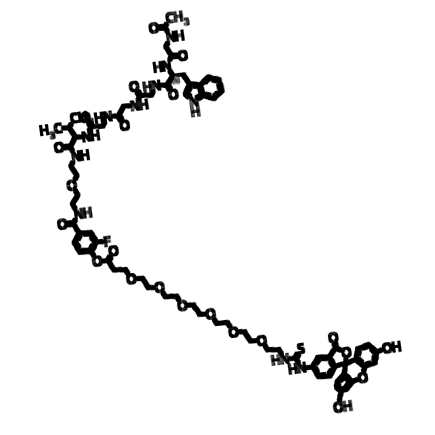 CC(=O)NCC(=O)N[C@@H](Cc1c[nH]c2ccccc12)C(=O)NCC(=O)NCC(=O)NCC(=O)NC(C(=O)NCCOCCNC(=O)c1ccc(OC(=O)CCOCCOCCOCCOCCOCCOCCNC(=S)Nc2ccc3c(c2)C(=O)OC32c3ccc(O)cc3Oc3cc(O)ccc32)c(F)c1)C(C)C